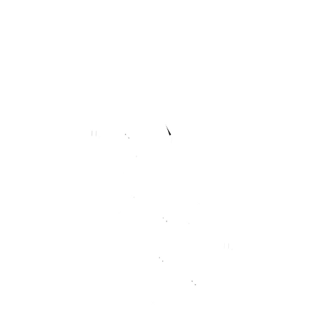 C=C(Cn1cnc(/N=C\C)c(C)c1=O)OC(=O)N(C)C[C@H](F)c1ccc2ccccc2c1